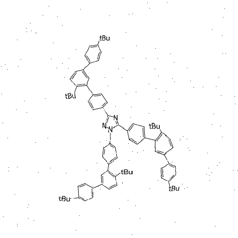 CC(C)(C)c1ccc(-c2ccc(C(C)(C)C)c(-c3ccc(-c4nc(-c5ccc(-c6cc(-c7ccc(C(C)(C)C)cc7)ccc6C(C)(C)C)cc5)n(-c5ccc(-c6cc(-c7ccc(C(C)(C)C)cc7)ccc6C(C)(C)C)cc5)n4)cc3)c2)cc1